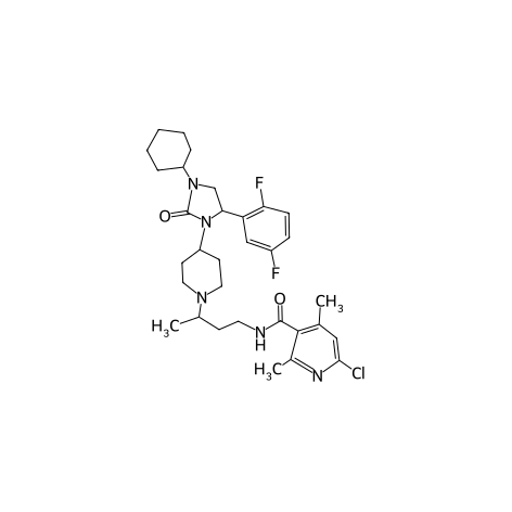 Cc1cc(Cl)nc(C)c1C(=O)NCCC(C)N1CCC(N2C(=O)N(C3CCCCC3)CC2c2cc(F)ccc2F)CC1